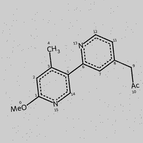 COc1cc(C)c(-c2cc(CC(C)=O)ccn2)cn1